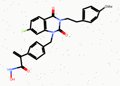 C=C(C(=O)NO)c1ccc(Cn2c(=O)n(CCc3ccc(OC)cc3)c(=O)c3ccc(F)cc32)cc1